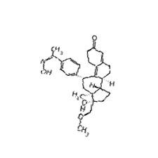 COC[C@]1(O)CC[C@H]2[C@@H]3CCC4=CC(=O)CCC4=C3[C@@H](c3ccc(/C(C)=N\O)cc3)C[C@@]21C